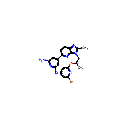 Cc1nc2ccc(-c3cc(N)nc(N)c3)nc2n1C[C@@H](C)Oc1cccc(Br)n1